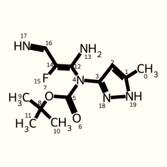 Cc1cc(N(C(=O)OC(C)(C)C)/C(N)=C(\F)C=N)n[nH]1